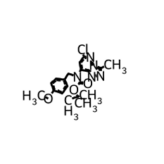 COc1ccc(CN(C(=O)OC(C)(C)C)c2cc(Cl)nn3c(C)nnc23)cc1